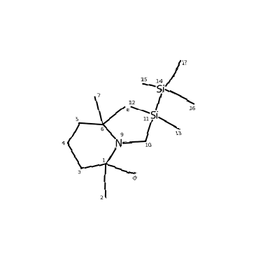 CC1(C)CCCC(C)(C)N1C[Si](C)(C)[Si](C)(C)C